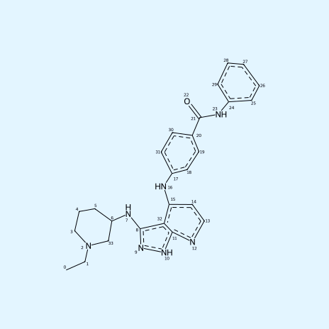 CCN1CCCC(Nc2n[nH]c3nccc(Nc4ccc(C(=O)Nc5ccccc5)cc4)c23)C1